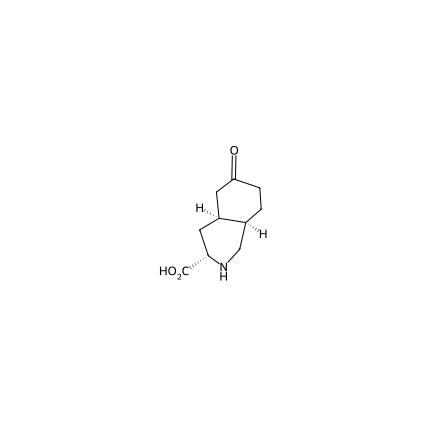 O=C1CC[C@H]2CN[C@H](C(=O)O)C[C@H]2C1